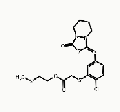 CSCCOC(=O)CSc1cc(N=c2sc(=O)n3n2CCCC3)ccc1Cl